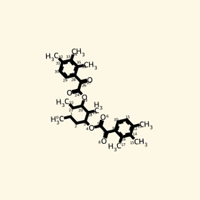 CCCC(OC(=O)C(=O)c1ccc(C)c(C)c1C)C(C)C(CC)OC(=O)C(=O)c1ccc(C)c(C)c1C